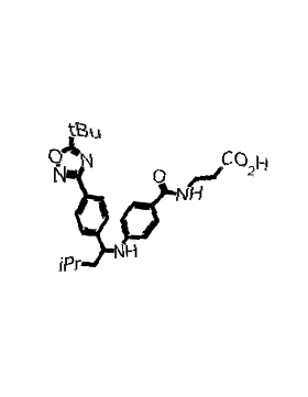 CC(C)CC(Nc1ccc(C(=O)NCCC(=O)O)cc1)c1ccc(-c2noc(C(C)(C)C)n2)cc1